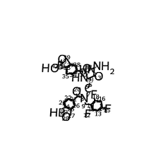 NNC(=O)[C@H](CCCN(Cc1c(F)cc(F)cc1F)C(=O)c1ccc2c(c1)COB2)NC(=O)c1ccc2c(c1)COB2O